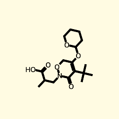 CC(CN1OCC(OC2CCCCO2)=C(C(C)(C)C)C1=O)C(=O)O